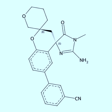 CN1C(=O)[C@@]2(C[C@@]3(CCCOC3)Oc3ccc(-c4cccc(C#N)c4)cc32)N=C1N